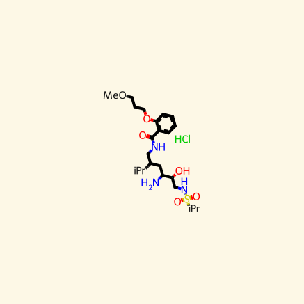 COCCCOc1ccccc1C(=O)NCC(CC(N)C(O)CNS(=O)(=O)C(C)C)C(C)C.Cl